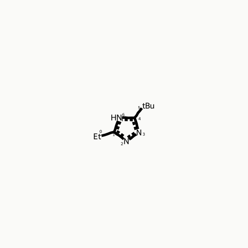 CCc1nnc(C(C)(C)C)[nH]1